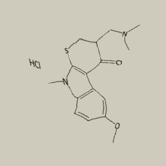 COc1ccc2c(c1)c1c(n2C)SCC(CN(C)C)C1=O.Cl